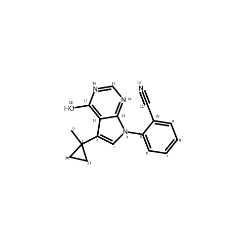 CC1(c2cn(-c3ccccc3C#N)c3ncnc(O)c23)CC1